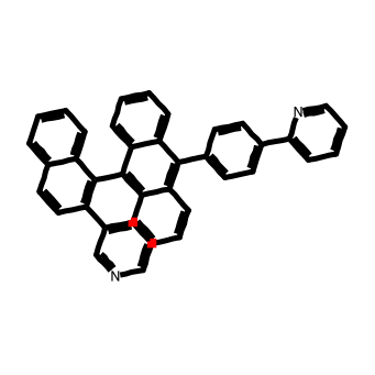 c1ccc(-c2ccc(-c3c4ccccc4c(-c4c(-c5cccnc5)ccc5ccccc45)c4ccccc34)cc2)nc1